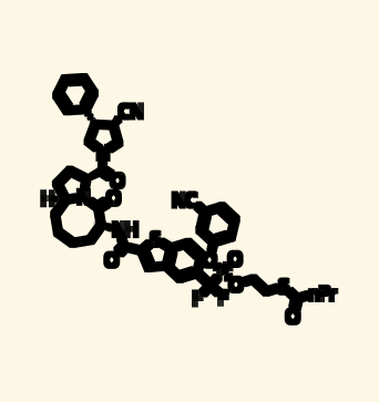 CCCC(=O)SCCOP(=O)(Oc1cccc(C#N)c1)C(F)(F)c1ccc2sc(C(=O)N[C@H]3CCCC[C@H]4CC[C@@H](C(=O)N5C[C@H](c6ccccc6)[C@@H](C#N)C5)N4C3=O)cc2c1